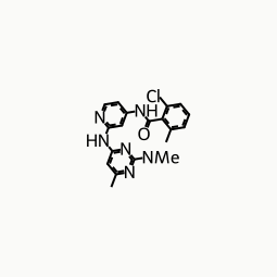 CNc1nc(C)cc(Nc2cc(NC(=O)c3c(C)cccc3Cl)ccn2)n1